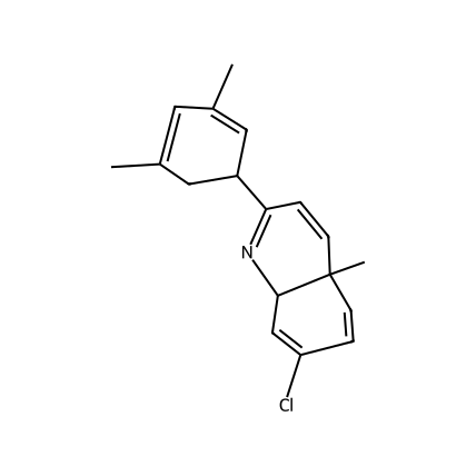 CC1=CC(C2=NC3C=C(Cl)C=CC3(C)C=C2)CC(C)=C1